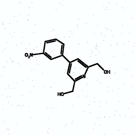 O=[N+]([O-])c1cccc(-c2cc(CO)nc(CO)c2)c1